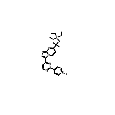 CC[Si](CC)(CC)OC(C)(C)c1ccn2c(-c3ccnc(-c4cc[n+]([O-])cc4)n3)cnc2n1